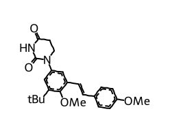 COc1ccc(C=Cc2cc(N3CCC(=O)NC3=O)cc(C(C)(C)C)c2OC)cc1